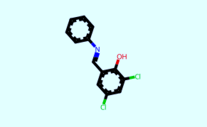 Oc1c(Cl)cc(Cl)cc1/C=N/c1ccccc1